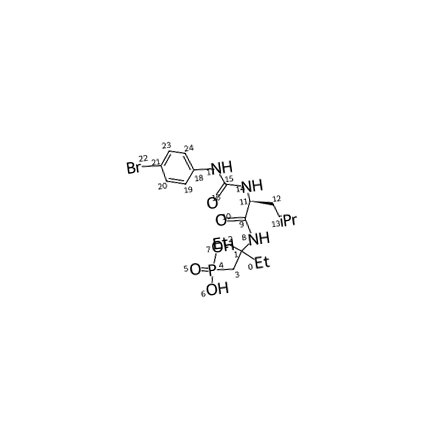 CCC(CC)(CP(=O)(O)O)NC(=O)[C@H](CC(C)C)NC(=O)Nc1ccc(Br)cc1